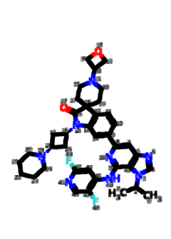 CC(C)n1cnc2cc(-c3ccc4c(c3)N([C@H]3C[C@@H](N5CCCCC5)C3)C(=O)C43CCN(C4COC4)CC3)nc(Nc3cc(F)ncc3F)c21